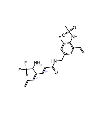 C=C/C=C(/C=C/C(=O)NCc1cc(F)c(NS(C)(=O)=O)c(C=C)c1)C(N)C(F)(F)F